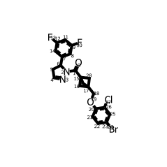 O=C(N1N=CCC1c1cc(F)cc(F)c1)C12CC(COc3ccc(Br)cc3Cl)(C1)C2